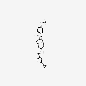 CC(=O)Nc1ccc(S(=O)(=O)C23CC4CC(NC(=O)c5cc(C6CC6)on5)CC(C2)N43)cc1